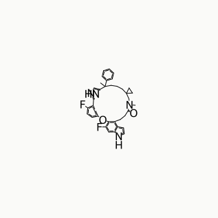 CN1CC2(CCCC(C)(c3ccccc3)c3cnc([nH]3)-c3cc(ccc3F)Oc3c(F)cc4[nH]ccc4c3CCC1=O)CC2